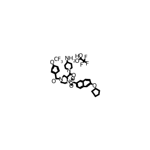 NC1CCN(C(=O)C2CN(C(=O)c3ccc(OC(F)(F)F)cc3)CCN2S(=O)(=O)c2ccc3cc(OC4CCCC4)ccc3c2)CC1.O=C(O)C(F)(F)F